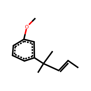 C/C=C/C(C)(C)c1cccc(OC)c1